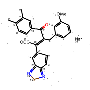 COc1cccc(CC(C(=O)c2ccc(C)c(C)c2)=C(C(=O)[O-])c2ccc3nsnc3c2)c1.[Na+]